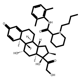 CCCCN1CCCCC1C(=O)Nc1c(C)cccc1C.C[C@@H]1C[C@H]2[C@@H]3CCC4=CC(=O)C=C[C@]4(C)[C@@]3(F)[C@@H](O)C[C@]2(C)[C@@]1(O)C(=O)CO